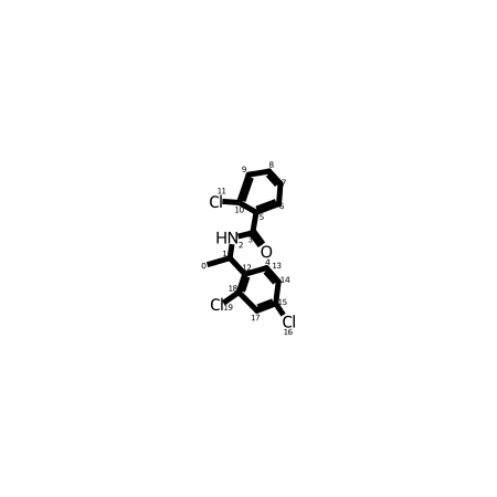 CC(NC(=O)c1ccccc1Cl)c1ccc(Cl)cc1Cl